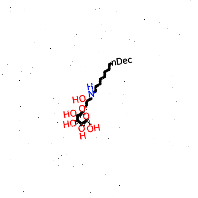 CCCCCCCCCCCCCCCCCCNCC(O)CO[C@@H]1O[C@H](CO)[C@H](O)[C@H](O)[C@H]1O